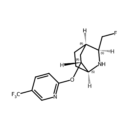 FC[C@H]1N[C@H]2CC[C@@H]1C[C@H]2Oc1ccc(C(F)(F)F)cn1